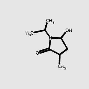 CC1CC(O)N(C(C)C)C1=O